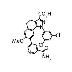 COc1cc2c(cc1-c1cncc(C(N)=O)c1)-c1c(c(C(=O)O)nn1-c1cc(Cl)cc(Cl)c1)CC2